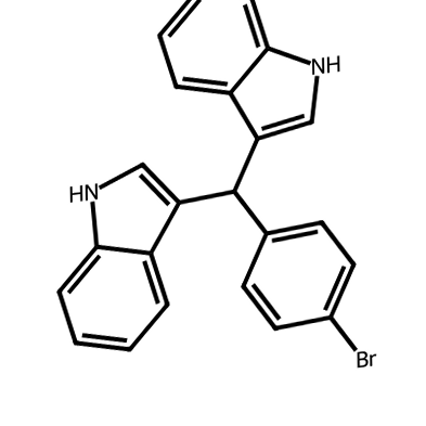 Brc1ccc(C(c2c[nH]c3ccccc23)c2c[nH]c3ccccc23)cc1